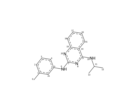 Cc1cccc(Nc2nc(NC(C)C)c3ccccc3n2)c1